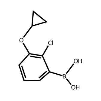 OB(O)c1cccc(OC2CC2)c1Cl